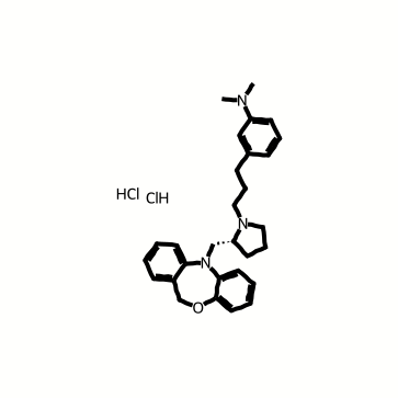 CN(C)c1cccc(CCCN2CCC[C@@H]2CN2c3ccccc3COc3ccccc32)c1.Cl.Cl